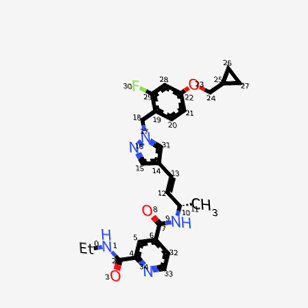 CCNC(=O)c1cc(C(=O)N[C@@H](C)/C=C/c2cnn(Cc3ccc(OCC4CC4)cc3F)c2)ccn1